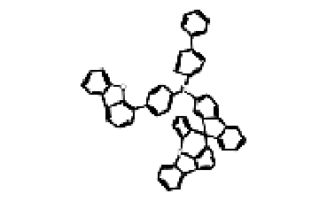 c1ccc(-c2ccc(N(c3ccc(-c4cccc5c4oc4ccccc45)cc3)c3ccc4c(c3)C3(c5ccccc5-4)c4ccccc4-n4c5ccccc5c5cccc3c54)cc2)cc1